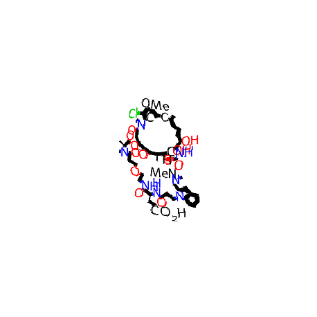 CNN(C)Cc1cc2ccccc2n1CCC(=O)N[C@@H](CCC(=O)O)C(=O)NCCOCCC(=O)N(C)[C@@H](C)C(=O)O[C@H]1CC(=O)N(C)c2cc(cc(OC)c2Cl)C/C(C)=C/C=C/[C@@H](O)[C@@]2(O)C[C@H](OC(=O)N2)[C@@H](C)C2O[C@]21C